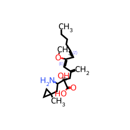 C=C(/C=C(\C=C/CCCC)OC)C[C@](O)(C(=O)O)C(N)CC1(C)CC1